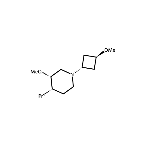 CO[C@@H]1CN([C@H]2C[C@H](OC)C2)CC[C@@H]1C(C)C